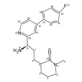 CN1CCCC(CC[C@@H](N)c2cc(-c3ccc(F)cc3)ccn2)C1=O